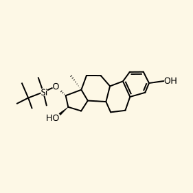 CC(C)(C)[Si](C)(C)O[C@H]1[C@H](O)CC2C3CCc4cc(O)ccc4C3CC[C@@]21C